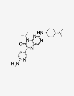 CC(C)n1c(=O)c(-c2ccc(N)nc2)nc2cnc(N[C@H]3CC[C@H](N(C)C)CC3)nc21